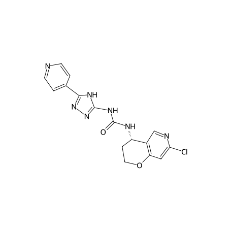 O=C(Nc1nnc(-c2ccncc2)[nH]1)N[C@H]1CCOc2cc(Cl)ncc21